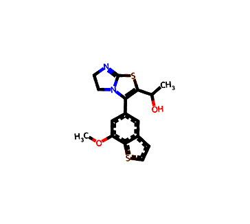 COc1cc(C2=C(C(C)O)SC3=NCCN32)cc2ccsc12